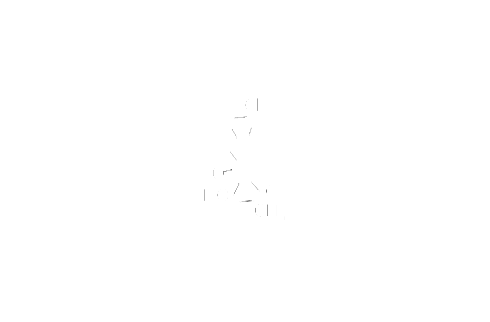 Cc1cc(O)c(C(=O)C=Cc2ccc(Cl)cc2)cc1Cl